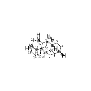 C[C@@]12C[C@@H]3CC[C@@H]([C@H]1C3)[C@H]1C[C@@H]3[C@H]4CCC[C@]32C1NC4